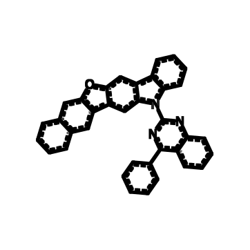 c1ccc(-c2nc(-n3c4ccccc4c4cc5oc6cc7ccccc7cc6c5cc43)nc3ccccc23)cc1